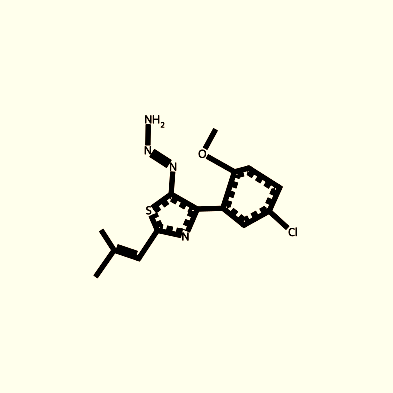 COc1ccc(Cl)cc1-c1nc(C=C(C)C)sc1N=NN